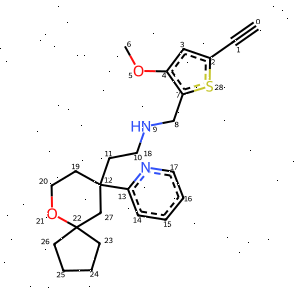 C#Cc1cc(OC)c(CNCCC2(c3ccccn3)CCOC3(CCCC3)C2)s1